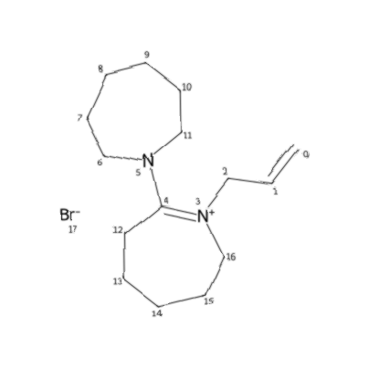 C=CC[N+]1=C(N2CCCCCC2)CCCCC1.[Br-]